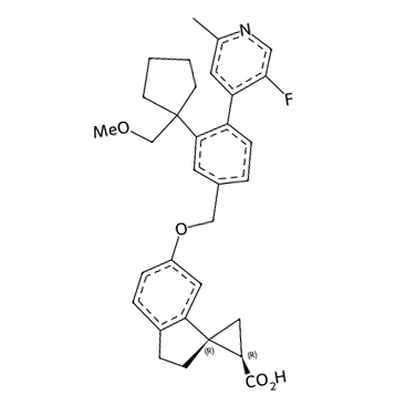 COCC1(c2cc(COc3ccc4c(c3)[C@]3(CC4)C[C@H]3C(=O)O)ccc2-c2cc(C)ncc2F)CCCC1